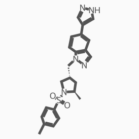 Cc1ccc(S(=O)(=O)N2C[C@H](Cn3ncc4cc(-c5cn[nH]c5)ccc43)C[C@H]2C)cc1